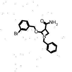 NC(=O)C1CN(Cc2ccccc2)C1OCc1cccc(Br)c1